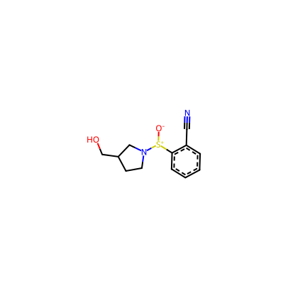 N#Cc1ccccc1[S+]([O-])N1CCC(CO)C1